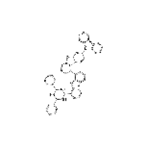 C1=CC2c3c(cccc3-c3cccc4c3sc3c(C5NC(c6ccccc6)NC(c6ccccc6)N5)cccc34)OC2C=C1n1c2ccccc2c2ccccc21